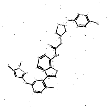 Cc1cnc(Nc2cc(C)n(C)n2)nc1-c1c[nH]c2c(NC(=O)CN3CC[C@H](Oc4ccc(Cl)cc4)C3)cccc12